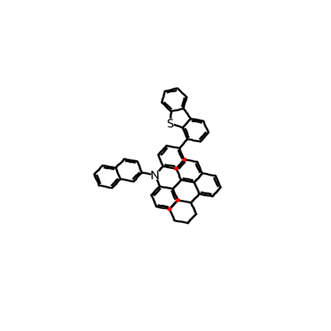 c1ccc(N(c2ccc(-c3cccc4c3sc3ccccc34)cc2)c2ccc3ccccc3c2)c(-c2cccc3cccc(C4CCCCC4)c23)c1